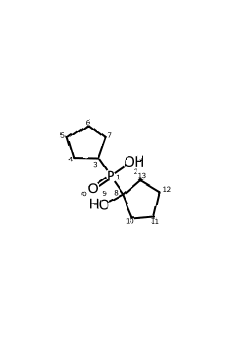 O=P(O)(C1CCCC1)C1(O)CCCC1